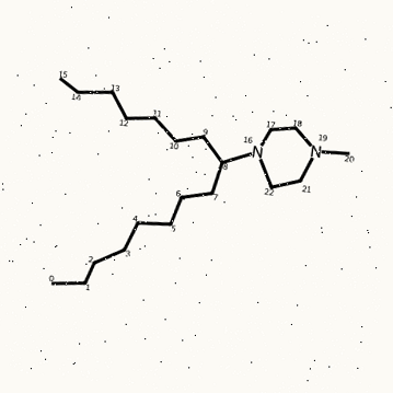 CCCCCCCCC(CCCCCCC)N1CCN(C)CC1